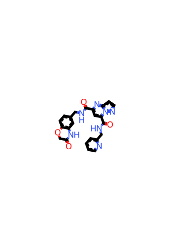 O=C1COc2ccc(CNC(=O)c3cc(C(=O)NCc4ccccn4)n4nccc4n3)cc2N1